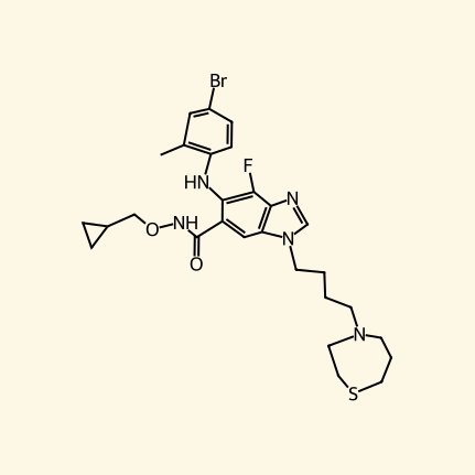 Cc1cc(Br)ccc1Nc1c(C(=O)NOCC2CC2)cc2c(ncn2CCCCN2CCCSCC2)c1F